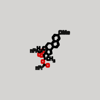 CCCC(=O)OCC(=O)[C@]1(OC(=O)CCC)[C@H](C)C=C2c3ccc4cc(OC)ccc4c3CC[C@@]21C